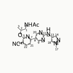 CC(=O)NCC(C)Oc1nc(-c2cnc(Nc3cnn(C)c3)nc2)ccc1C#N